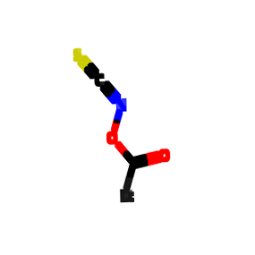 CCC(=O)ON=C=S